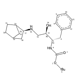 CC(C)(C)OC(=O)N[C@@H](Cc1ccccc1)[C@H](O)CN[C@H]1CC2CCC1C2